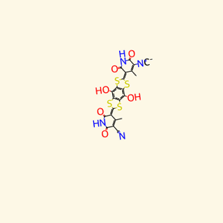 [C-]#[N+]C1=C(C)C(=C2Sc3c(O)c4c(c(O)c3S2)SC(=C2C(=O)NC(=O)C(C#N)=C2C)S4)C(=O)NC1=O